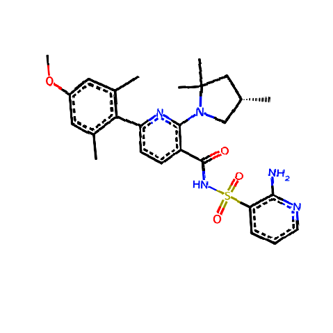 COc1cc(C)c(-c2ccc(C(=O)NS(=O)(=O)c3cccnc3N)c(N3C[C@@H](C)CC3(C)C)n2)c(C)c1